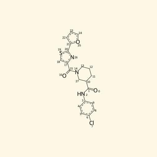 O=C(Nc1ccc(Cl)cc1)C1CCCN(C(=O)c2csc(-c3ccco3)n2)C1